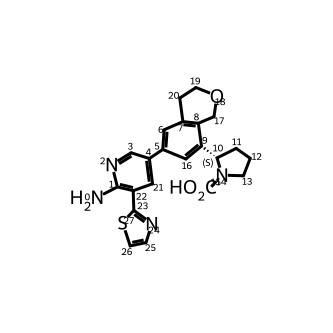 Nc1ncc(-c2cc3c(c([C@@H]4CCCN4C(=O)O)c2)COCC3)cc1-c1nccs1